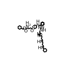 NC(CCC(=O)N1CCC(Nc2nc(NCc3cn(CCCNCCCNC4CCCCC4)nn3)nc3ccccc23)CC1)C(=O)OCC1CCCCC1